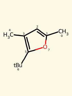 Cc1cc(C)c(C(C)(C)C)o1